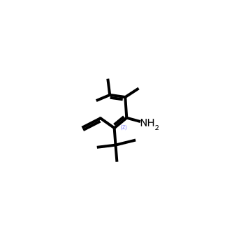 C=C/C(=C(/N)C(C)=C(C)C)C(C)(C)C